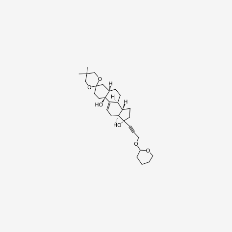 CC1(C)COC2(CC[C@@]3(O)C4=CC[C@@]5(C)[C@@H](CC[C@@]5(O)C#CCOC5CCCCO5)[C@@H]4CC[C@H]3C2)OC1